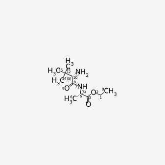 CCOC(=O)[C@H](C)NC(=O)[C@@H](N)C(C)(C)C